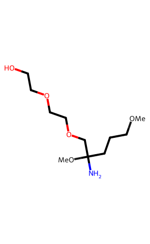 COCCCC(N)(COCCOCCO)OC